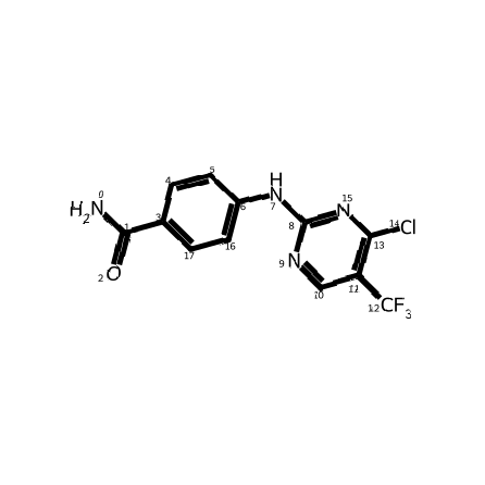 NC(=O)c1ccc(Nc2ncc(C(F)(F)F)c(Cl)n2)cc1